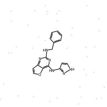 c1ccc(CNc2nc(Nc3cc[nH]n3)c3occc3n2)cc1